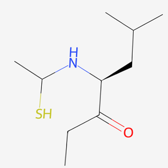 CCC(=O)[C@H](CC(C)C)NC(C)S